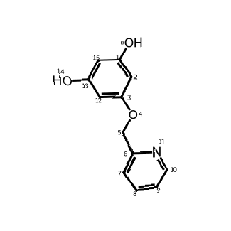 Oc1[c]c(OCc2ccccn2)cc(O)c1